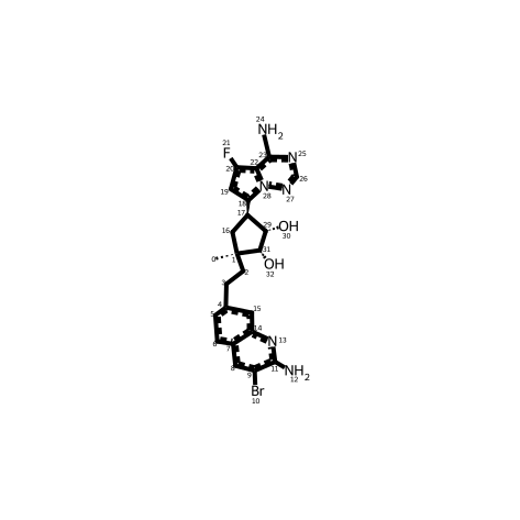 C[C@]1(CCc2ccc3cc(Br)c(N)nc3c2)C[C@@H](c2cc(F)c3c(N)ncnn23)[C@H](O)[C@@H]1O